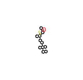 c1ccc2c(-c3c4ccccc4c(-c4ccc5cc(-c6cc7c8ccc9oc%10ccccc%10c9c8sc7c7ccccc67)ccc5c4)c4ccccc34)cccc2c1